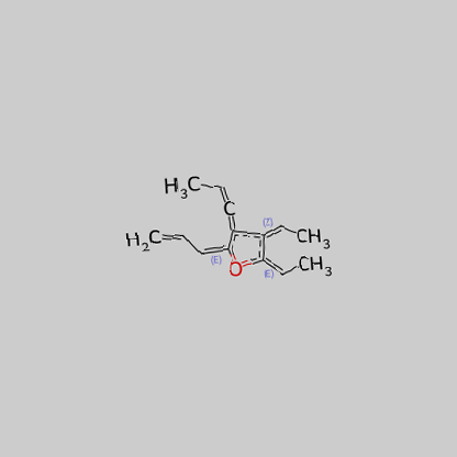 C=C/C=c1/oc(=C/C)/c(=C\C)c1=C=CC